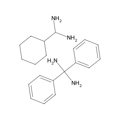 NC(N)(c1ccccc1)c1ccccc1.NC(N)C1CCCCC1